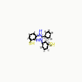 Sc1cccc(NC(Nc2cccc(S)c2)c2ccccc2)c1